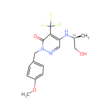 COc1ccc(Cn2ncc(N[C@@H](C)CO)c(C(F)(F)F)c2=O)cc1